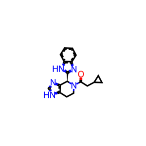 O=C(CC1CC1)N1CCc2[nH]cnc2[C@H]1c1nc2ccccc2[nH]1